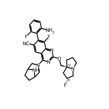 N#Cc1cc2c(N3CC4CCC(C3)N4)nc(OC[C@@]34CCCN3C[C@H](F)C4)nc2c(F)c1-c1c(N)cccc1F